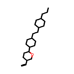 C=CC1CCC(C2CCC(CCC3CCC(CCC)CC3)CC2)OC1